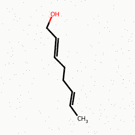 CC=CCCC=CCO